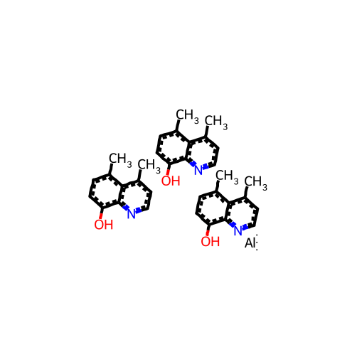 Cc1ccnc2c(O)ccc(C)c12.Cc1ccnc2c(O)ccc(C)c12.Cc1ccnc2c(O)ccc(C)c12.[Al]